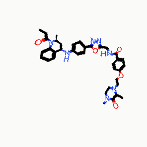 CCC(=O)N1c2ccccc2[C@H](Nc2ccc(-c3nnc(CNC(=O)c4ccc(OCCN5CCN(C)C(=O)C5C)cc4)o3)cc2)C[C@@H]1C